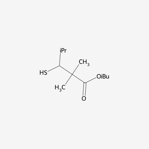 CC(C)COC(=O)C(C)(C)C(S)C(C)C